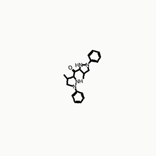 CC1CN(c2ccccc2)NC1C(=O)C1NN(c2ccccc2)CC1C